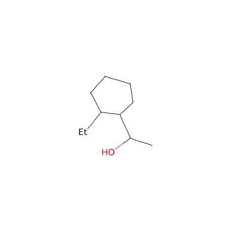 CCC1CCCCC1C(C)O